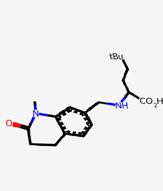 CN1C(=O)CCc2ccc(CNC(CCC(C)(C)C)C(=O)O)cc21